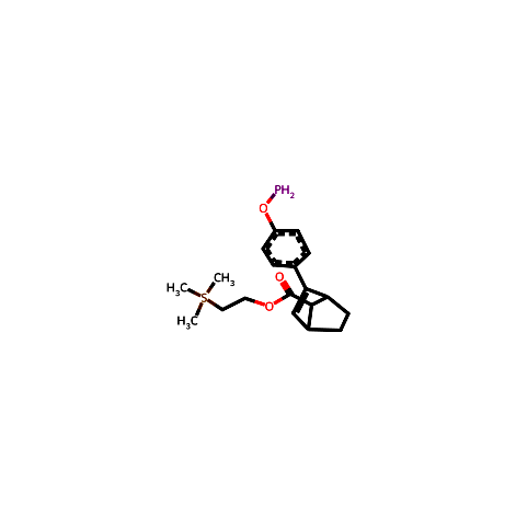 CS(C)(C)CCOC(=O)C1C2C=C(c3ccc(OP)cc3)C1CC2